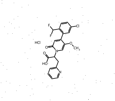 COc1cn(C(Cc2ccccn2)C(=O)O)c(=O)cc1-c1cc(Cl)ccc1C(F)F.Cl